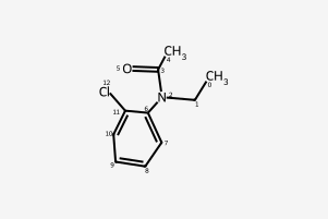 CCN(C(C)=O)c1ccccc1Cl